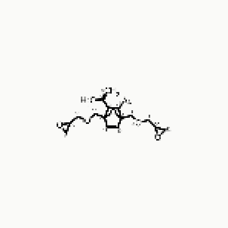 C=C(C)C1C(C(C)=O)C2(COCC3CO3)C=CC1(COCC1CO1)O2